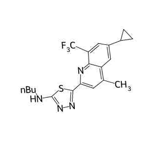 CCCCNc1nnc(-c2cc(C)c3cc(C4CC4)cc(C(F)(F)F)c3n2)s1